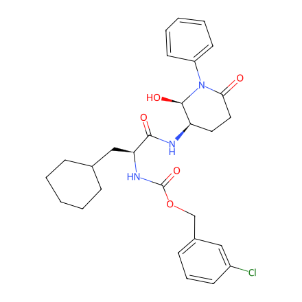 O=C(N[C@@H](CC1CCCCC1)C(=O)N[C@@H]1CCC(=O)N(c2ccccc2)[C@@H]1O)OCc1cccc(Cl)c1